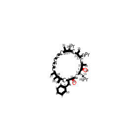 C=C1CC(CC2=CCCC=C2)C(=O)C[C@@H](CC(C)C)C(=O)C(C)CC(CCC)C(C)CC(C(C)C)C(C)CCCCCC(C)C1C